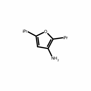 CC(C)c1cc(N)c(C(C)C)o1